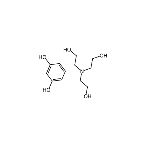 OCCN(CCO)CCO.Oc1cccc(O)c1